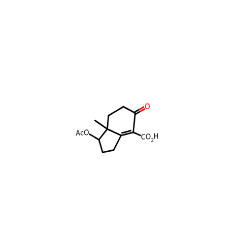 CC(=O)OC1CCC2=C(C(=O)O)C(=O)CCC21C